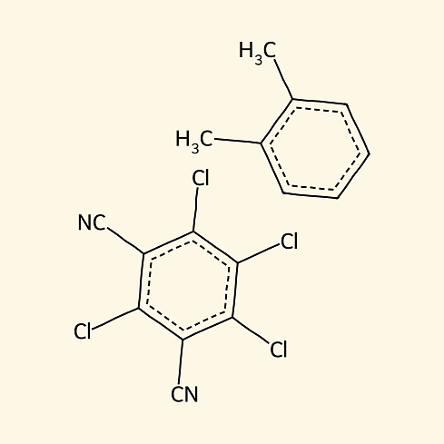 Cc1ccccc1C.N#Cc1c(Cl)c(Cl)c(Cl)c(C#N)c1Cl